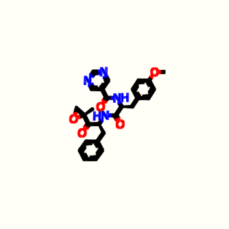 COc1ccc(C[C@H](NC(=O)c2cncnc2)C(=O)N[C@@H](Cc2ccccc2)C(=O)[C@@]2(C)CO2)cc1